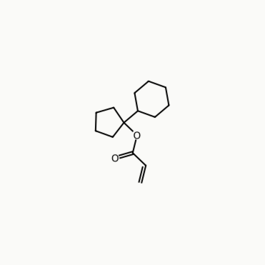 C=CC(=O)OC1(C2CCCCC2)CCCC1